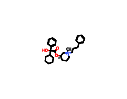 C[N+]1(CCCc2ccccc2)CCC[C@@H](OC(=O)C(O)(c2ccccc2)C2CCCCC2)C1